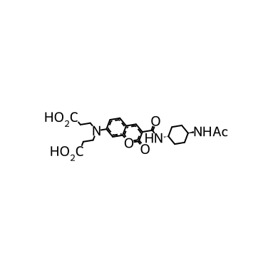 CC(=O)N[C@H]1CC[C@H](NC(=O)c2cc3ccc(N(CCC(=O)O)CCC(=O)O)cc3oc2=O)CC1